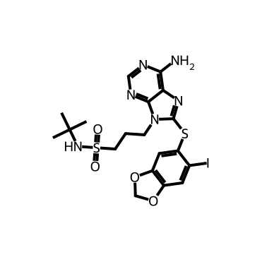 CC(C)(C)NS(=O)(=O)CCCn1c(Sc2cc3c(cc2I)OCO3)nc2c(N)ncnc21